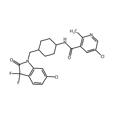 Cc1ncc(Cl)cc1C(=O)NC1CCC(CN2C(=O)C(F)(F)c3ccc(Cl)cc32)CC1